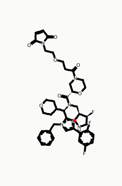 O=C(CCOCCN1C(=O)C=CC1=O)N1CCO[C@H](C(=O)N(C[C@@H]2CNC[C@@H]2F)[C@@H](c2nc(-c3cc(F)ccc3F)cn2Cc2ccccc2)C2CCOCC2)C1